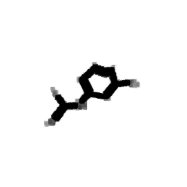 O=C(F)Nc1cccc(Cl)c1